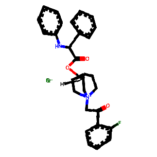 O=C(C[N+]12CCC(CC1)[C@@H](OC(=O)C(Nc1ccccc1)c1ccccc1)C2)c1ccccc1F.[Br-]